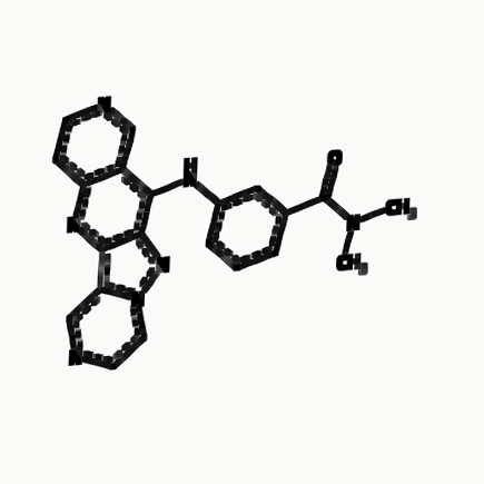 CN(C)C(=O)c1cccc(Nc2c3cnccc3nc3c2nn2ccncc32)c1